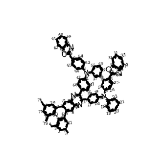 Cc1cc(C)cc(-c2cc3nc(-c4ccc(N(c5ccccc5)c5ccc(-c6nc7ccccc7o6)cc5)cc4)c(-c4ccc(N(c5ccccc5)c5ccc(-c6nc7ccccc7o6)cc5)cc4)nc3cc2-c2cc(C)cc(C)c2)c1